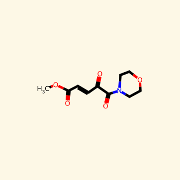 COC(=O)/C=C/C(=O)C(=O)N1CCOCC1